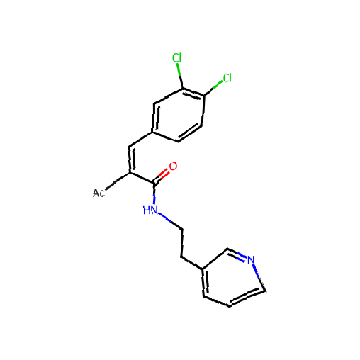 CC(=O)/C(=C/c1ccc(Cl)c(Cl)c1)C(=O)NCCc1cccnc1